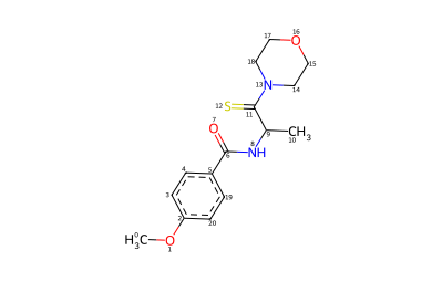 COc1ccc(C(=O)NC(C)C(=S)N2CCOCC2)cc1